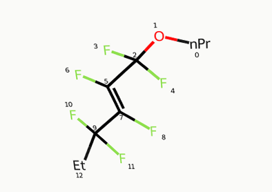 CCCOC(F)(F)/C(F)=C(\F)C(F)(F)CC